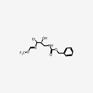 CC[C@H](N=COC(F)(F)F)[C@@H](O)CNC(=O)OCc1ccccc1